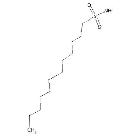 CCCCCCCCCCCCS([NH])(=O)=O